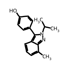 Cc1cccc2c(-c3ccc(O)cc3)n(C(C)C)nc12